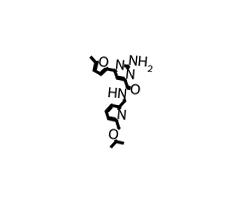 Cc1ccc(-c2cc(C(=O)NCc3cccc(COC(C)C)n3)nc(N)n2)o1